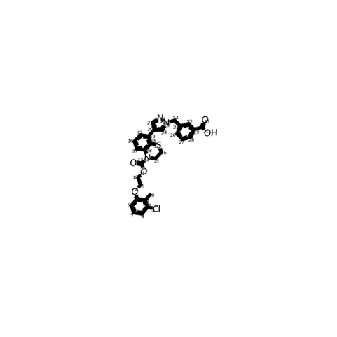 Cc1c(Cl)cccc1OCCOC(=O)N1CCSc2c(-c3cnn(Cc4cccc(C(=O)O)c4)c3)cccc21